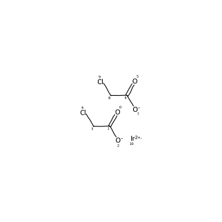 O=C([O-])CCl.O=C([O-])CCl.[Ir+2]